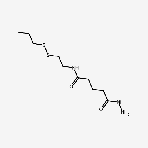 CCCSSCCNC(=O)CCCC(=O)NN